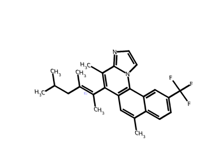 C/C(CC(C)C)=C(/C)c1c(C)c2nccn2c2c1cc(C)c1ccc(C(F)(F)F)cc12